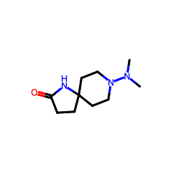 CN(C)N1CCC2(CCC(=O)N2)CC1